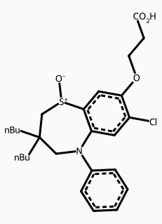 CCCCC1(CCCC)CN(c2ccccc2)c2cc(Cl)c(OCCC(=O)O)cc2[S+]([O-])C1